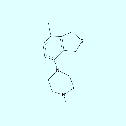 Cc1ccc(N2CCN(C)CC2)c2c1CSC2